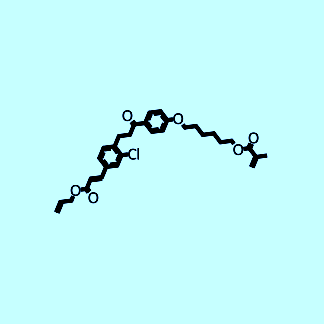 C=CCOC(=O)/C=C/c1ccc(CCC(=O)c2ccc(OCCCCCCOC(=O)C(=C)C)cc2)c(Cl)c1